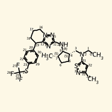 CCN(C[C@@H]1CC[C@H](C)[C@H]1Nc1nc2n(n1)CCCC2c1ccc(SC(F)(F)F)cc1)c1cc(C)ns1